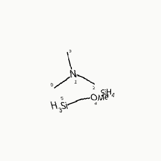 CN(C)C.CO[SiH3].[SiH4]